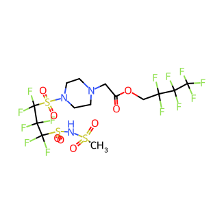 CS(=O)(=O)NS(=O)(=O)C(F)(F)C(F)(F)C(F)(F)S(=O)(=O)N1CCN(CC(=O)OCC(F)(F)C(F)(F)C(F)(F)F)CC1